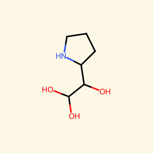 OC(O)C(O)C1CCCN1